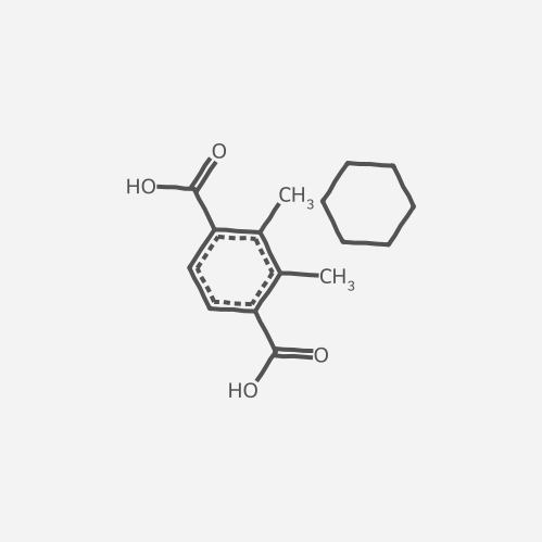 C1CCCCC1.Cc1c(C(=O)O)ccc(C(=O)O)c1C